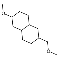 COCC1CCC2CC(OC)CCC2C1